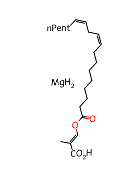 CCCCC/C=C\C/C=C\CCCCCCCC(=O)OC=C(C)C(=O)O.[MgH2]